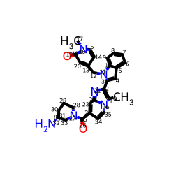 Cc1c(-c2cc3ccccc3n2Cc2ccn(C)c(=O)c2)nc2cc(C(=O)N3CCC[C@@H](N)C3)ccn12